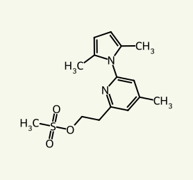 Cc1cc(CCOS(C)(=O)=O)nc(-n2c(C)ccc2C)c1